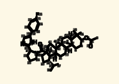 CC(=O)O[C@H]1CC[C@]2(C)[C@H]3CC[C@@H]4[C@H]5[C@H](C(C)C)CC[C@]5(C(=O)N5CCCC5c5ncc(-c6ccc(F)cc6)[nH]5)CC[C@@]4(C)[C@]3(C)CC[C@H]2C1(C)C